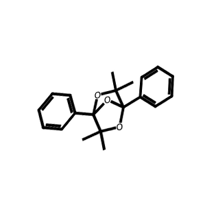 CC1(C)OC2(c3ccccc3)OC1(c1ccccc1)OC2(C)C